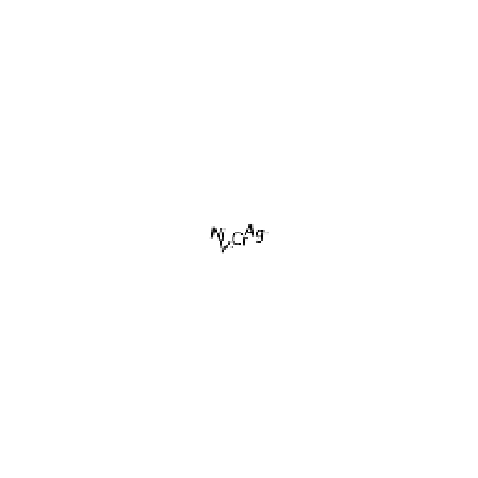 [Ag].[Cr].[Ni].[V]